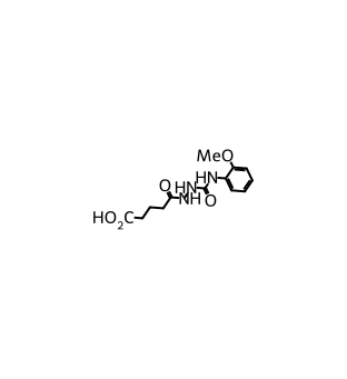 COc1ccccc1NC(=O)NNC(=O)CCCC(=O)O